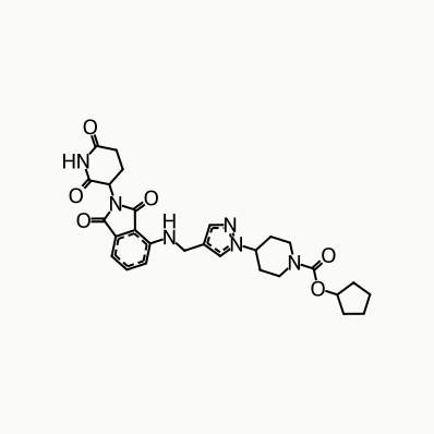 O=C1CCC(N2C(=O)c3cccc(NCc4cnn(C5CCN(C(=O)OC6CCCC6)CC5)c4)c3C2=O)C(=O)N1